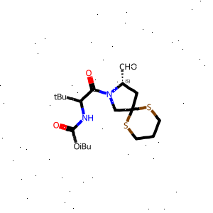 CC(C)COC(=O)NC(C(=O)N1CC2(C[C@H]1C=O)SCCCS2)C(C)(C)C